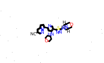 CC(=O)N1[C@@H]2COC[C@H]1CN(c1nnc(-c3cnc(-c4ccc5cc(C#N)cnn45)cc3NC3CCOCC3)s1)C2